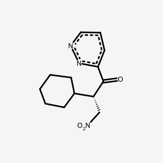 O=C(c1cccnn1)[C@H](C[N+](=O)[O-])C1CCCCC1